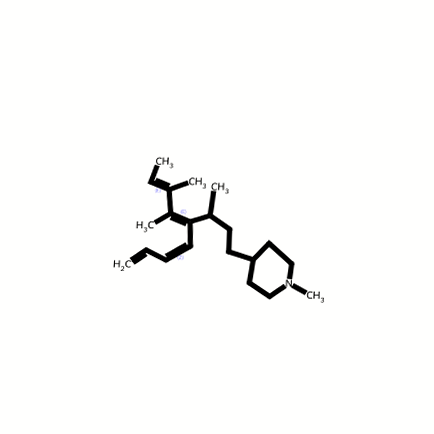 C=C\C=C/C(=C(C)/C(C)=C/C)C(C)CCC1CCN(C)CC1